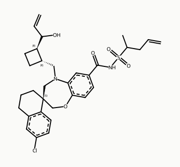 C=CCC(C)S(=O)(=O)NC(=O)c1ccc2c(c1)N(C[C@@H]1CC[C@H]1C(O)C=C)C[C@@]1(CCCc3cc(Cl)ccc31)CO2